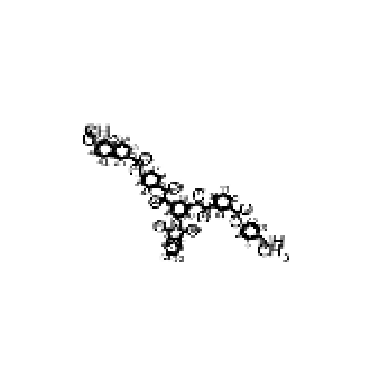 CNc1ccc(OC(=O)c2cccc(C(=O)C(=O)c3cc(C(=O)C(=O)c4ccc(OC(=O)c5ccc6cc(OC)ccc6c5)cc4)cc(N4C(=O)C5C6C=CC(C6)C5C4=O)c3)c2)cc1